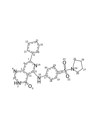 O=c1[nH]cnc2cc(-c3ccccc3)nc(Nc3ccc(S(=O)(=O)N4CCCC4)cc3)c12